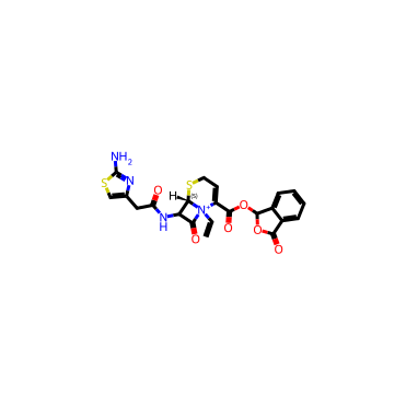 C=C[N+]12C(=O)C(NC(=O)Cc3csc(N)n3)[C@@H]1SCC=C2C(=O)OC1OC(=O)c2ccccc21